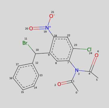 CC(=O)N(C(C)=O)c1cc(C(Br)c2ccccc2)c([N+](=O)[O-])cc1Cl